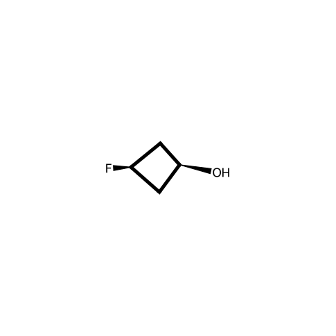 O[C@H]1C[C@@H](F)C1